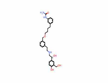 NC(=O)Nc1cccc(CCCCOCc2cccc(CCNC[C@H](O)c3ccc(O)c(CO)c3)c2)c1